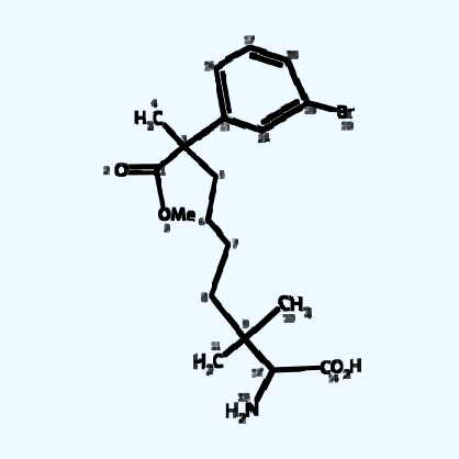 COC(=O)C(C)(CCCCC(C)(C)C(N)C(=O)O)c1cccc(Br)c1